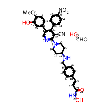 COc1ccc(-c2cnc(N3CCC(NCc4ccc(/C=C/C(=O)NO)cc4)CC3)c(C#N)c2-c2ccc([N+](=O)[O-])cc2)cc1O.O=CO